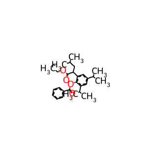 CCOC(=O)C(CC(C)C)c1cc(C(C)C)cc(C(C)C)c1OC(=O)c1ccccc1